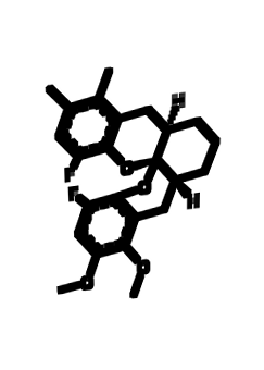 COc1cc(F)c2c(c1OC)C[C@H]1CCC[C@@H]3Cc4c(C)c(C)cc(F)c4O[C@@]31O2